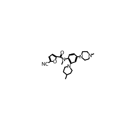 CC1CCN(c2cc(N3CCN(C)CC3)ccc2N(C)C(=O)c2ccc(C#N)o2)CC1